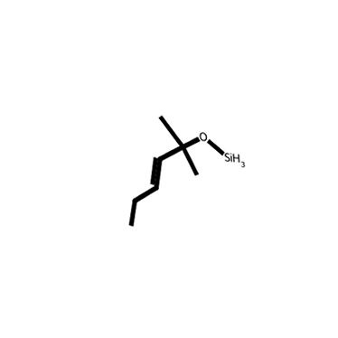 CCC=CC(C)(C)O[SiH3]